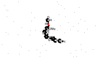 COc1nc(-c2ccnc(-c3cccc(NC(=O)c4cc5c(cn4)CN(C4CCN(C(C)=O)CC4)CC5)c3C)c2Cl)ccc1CNC[C@H]1CCC(=O)N1